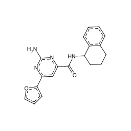 Nc1nc(C(=O)NC2CCCc3ccccc32)cc(-c2ccco2)n1